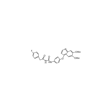 COc1cc2nccc(Oc3ccc(NC(=O)NC(=O)Cc4ccc(F)cc4)cc3)c2cc1OC